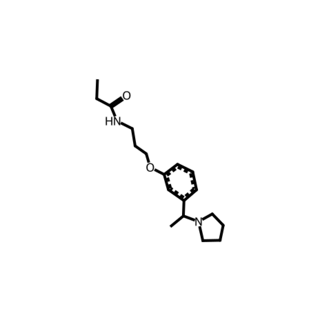 CCC(=O)NCCCOc1cccc(C(C)N2CCCC2)c1